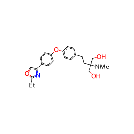 CCc1nc(-c2ccc(Oc3ccc(CCC(CO)(CO)NC)cc3)cc2)co1